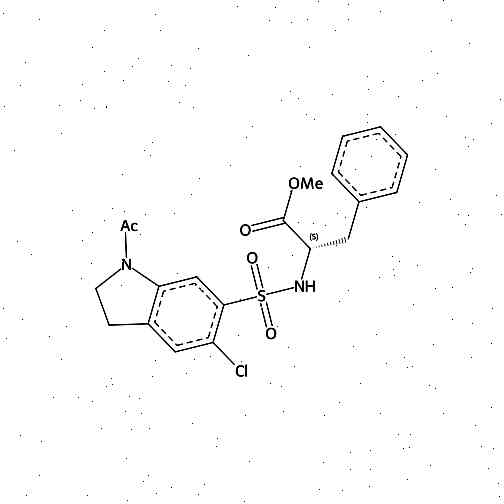 COC(=O)[C@H](Cc1ccccc1)NS(=O)(=O)c1cc2c(cc1Cl)CCN2C(C)=O